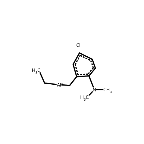 C[CH2][Al+][CH2]c1ccccc1N(C)C.[Cl-]